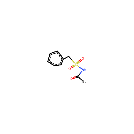 CCC(=O)NS(=O)(=O)Cc1ccccc1